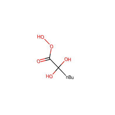 CCCCC(O)(O)C(=O)OO